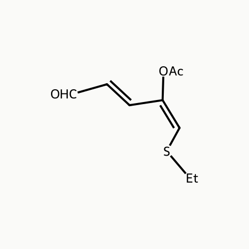 CCSC=C(C=CC=O)OC(C)=O